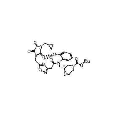 COc1ccccc1N(C[C@@H]1CN(C(=O)OC(C)(C)C)CCO1)C(=O)Cc1noc(CN2C(=O)C(=O)N(CC3CC3)C2=O)n1